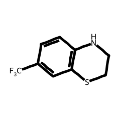 FC(F)(F)c1ccc2c(c1)SCCN2